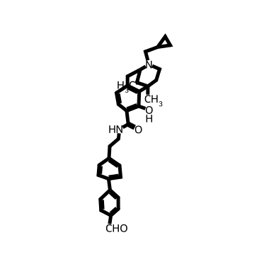 CC1C2Cc3ccc(C(=O)NCCc4ccc(-c5ccc(C=O)cc5)cc4)c(O)c3C1(C)CCN2CC1CC1